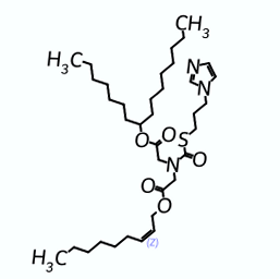 CCCCCC/C=C\COC(=O)CN(CC(=O)OC(CCCCCCC)CCCCCCCC)C(=O)SCCCn1ccnc1